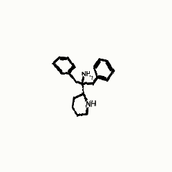 NC(Cc1ccccc1)(Cc1ccccc1)[C@@H]1CCCCN1